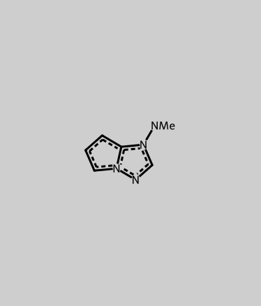 CNn1cnn2cccc12